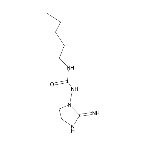 CCCCCNC(=O)NN1CCNC1=N